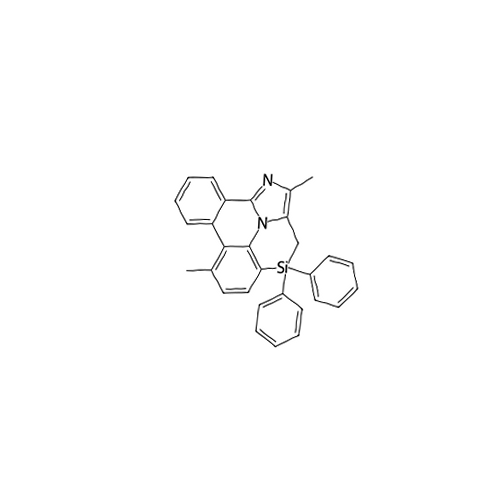 Cc1nc2c3ccccc3c3c(C)ccc4c3n2c1C[Si]4(c1ccccc1)c1ccccc1